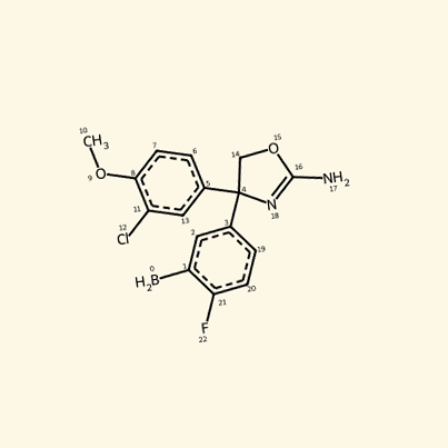 Bc1cc(C2(c3ccc(OC)c(Cl)c3)COC(N)=N2)ccc1F